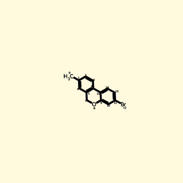 Cc1ccc2c(c1)COc1cc(Br)ccc1-2